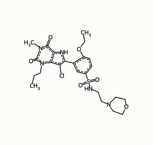 CCCn1c(=O)n(C)c(=O)c2[nH]c(-c3cc(S(=O)(=O)NCCN4CCOCC4)ccc3OCC)c(Cl)c21